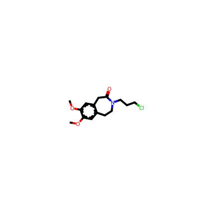 COc1cc2c(cc1OC)CC(=O)N(CCCCl)CC2